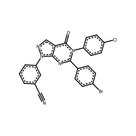 N#Cc1cccc(-n2ncc3c(=O)n(-c4ccc(Cl)cc4)c(-c4ccc(Br)cc4)nc32)c1